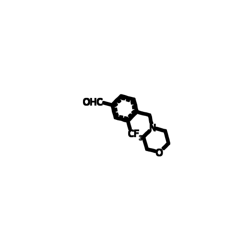 O=Cc1ccc(CN2CCOCC2)c(C(F)(F)F)c1